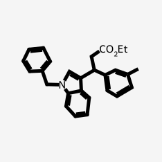 CCOC(=O)CC(c1cccc(C)c1)c1cn(Cc2ccccc2)c2ccccc12